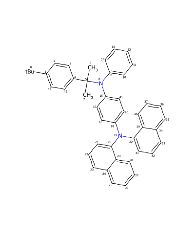 CC(C)(C)c1ccc(C(C)(C)N(c2ccccc2)c2ccc(N(c3cccc4ccccc34)c3cccc4ccccc34)cc2)cc1